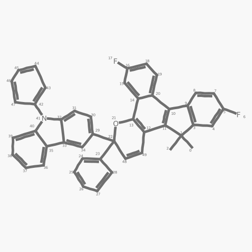 CC1(C)c2cc(F)ccc2-c2c1c1c(c3cc(F)ccc23)OC(c2ccccc2)(c2ccc3c(c2)c2ccccc2n3-c2ccccc2)C=C1